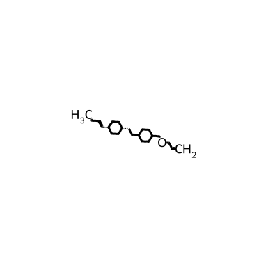 C=CCOCC1CCC(CC[C@H]2CC[C@H](/C=C/CC)CC2)CC1